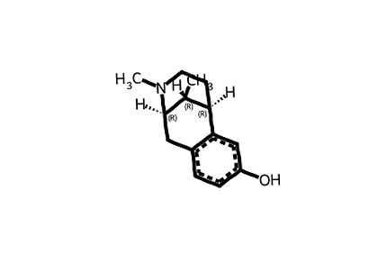 C[C@H]1[C@H]2Cc3ccc(O)cc3[C@@H]1CCN2C